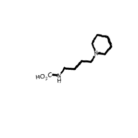 O=C(O)NCCCCN1CCCCC1